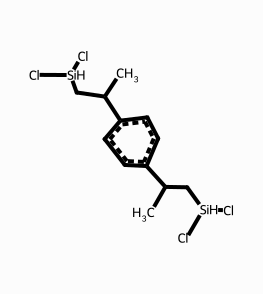 CC(C[SiH](Cl)Cl)c1ccc(C(C)C[SiH](Cl)Cl)cc1